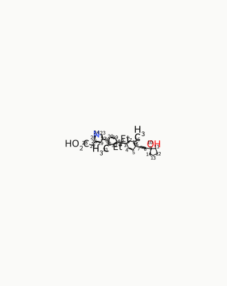 CCC(CC)(c1ccc(C#CC2(O)CCCC2)c(C)c1)c1ccc(-c2cncc(CC(=O)O)c2)c(C)c1